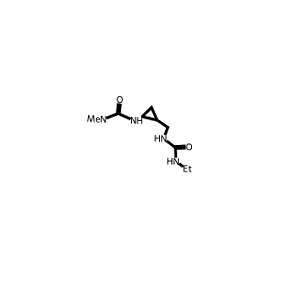 CCNC(=O)NCC1CC1NC(=O)NC